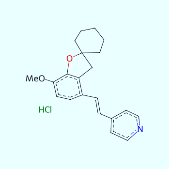 COc1ccc(C=Cc2ccncc2)c2c1OC1(CCCCC1)C2.Cl